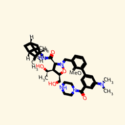 COc1c(CN2O[C@@H](CO)[C@@H]([C@H](C)O)[C@H]2C(=O)N[C@H]2C[C@H]3C[C@@H]([C@@H]2C)C3(C)C)cccc1-c1cc(C(=O)N2CCNCC2)cc(N(C)C)c1